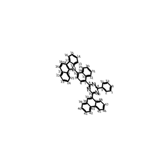 c1ccc(-c2nc(-c3ccc(-n4c5ccccc5c5ccc6ccccc6c54)c4ccccc34)nc(-c3cc4ccccc4c4ccccc34)n2)cc1